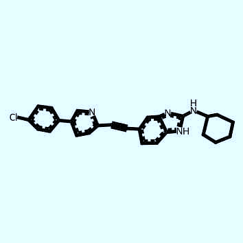 Clc1ccc(-c2ccc(C#Cc3ccc4[nH]c(NC5CCCCC5)nc4c3)nc2)cc1